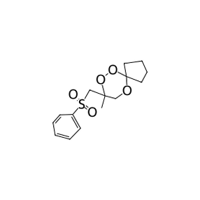 CC1(CS(=O)(=O)c2ccccc2)COC2(CCCC2)OO1